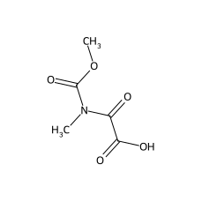 COC(=O)N(C)C(=O)C(=O)O